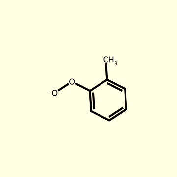 Cc1ccccc1O[O]